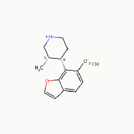 C[C@@H]1CNCC[C@@H]1c1c(C(F)(F)F)ccc2ccoc12.Cl